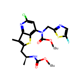 Cc1c(C[C@H](C)NC(=O)OC(C)(C)C)sc2c(N(Cc3ncc(F)s3)C(=O)OC(C)(C)C)cc(Cl)nc12